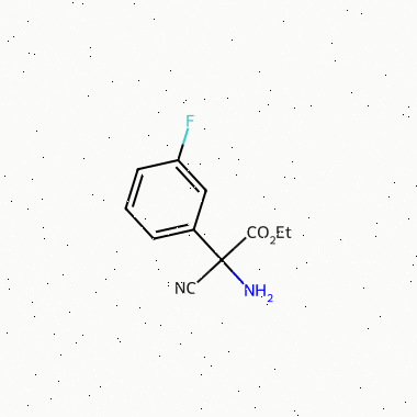 CCOC(=O)C(N)(C#N)c1cccc(F)c1